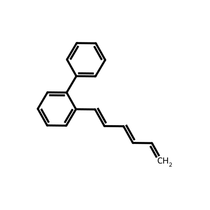 C=CC=CC=Cc1ccccc1-c1ccccc1